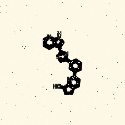 OC1CCc2ccc(-c3cccc(-c4csc(-c5c[nH]c6ncccc56)n4)c3)nc21